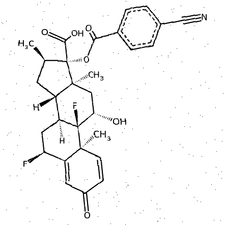 C[C@@H]1C[C@H]2[C@@H]3C[C@H](F)C4=CC(=O)C=C[C@]4(C)[C@@]3(F)[C@@H](O)C[C@]2(C)[C@]1(OC(=O)c1ccc(C#N)cc1)C(=O)O